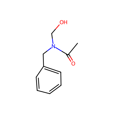 CC(=O)N(CO)Cc1ccccc1